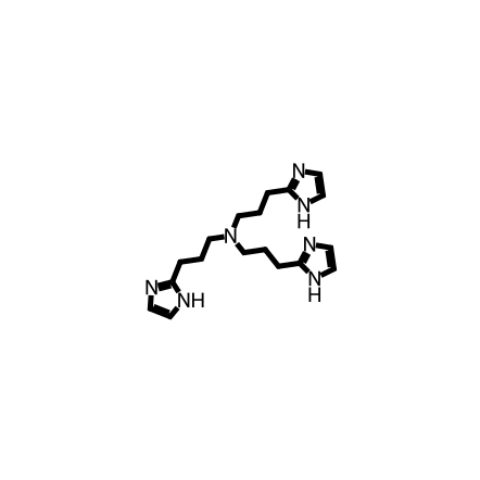 c1c[nH]c(CCCN(CCCc2ncc[nH]2)CCCc2ncc[nH]2)n1